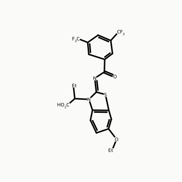 CCOc1ccc2c(c1)sc(=NC(=O)c1cc(C(F)(F)F)cc(C(F)(F)F)c1)n2C(CC)C(=O)O